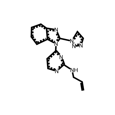 C=CCNc1nccc(-n2c(-n3ccnn3)nc3ccccc32)n1